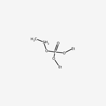 CCOP(=O)(OCC)O[SiH2]C